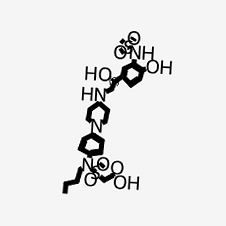 CCCCN(c1ccc(N2CCC(NC[C@@H](O)c3ccc(O)c(NS(C)(=O)=O)c3)CC2)cc1)S(=O)(=O)CC(=O)O